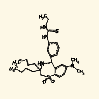 CCCCC1(CCCC)CS(=O)(=O)c2ccc(N(C)C)cc2C(c2cccc(NC(=S)NCC)c2)N1